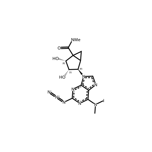 CNC(=O)C12CC1[C@@H](n1cnc3c(N(C)I)nc(N=[N+]=[N-])nc31)[C@H](O)[C@@H]2O